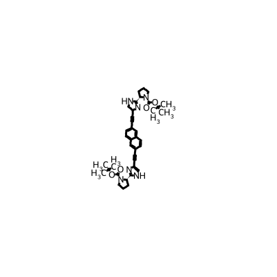 CC(C)(C)OC(=O)N1CCC[C@H]1C1=NC(C#Cc2ccc3cc(C#Cc4c[nH]c([C@@H]5CCCN5C(=O)OC(C)(C)C)n4)ccc3c2)CN1